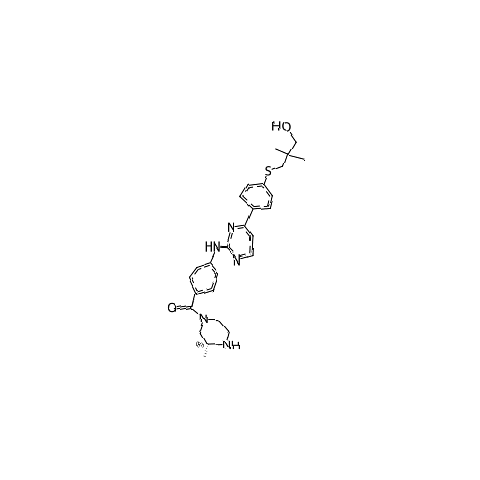 C[C@@H]1CN(C(=O)c2ccc(Nc3nccc(-c4ccc(SCC(C)(C)CO)cc4)n3)cc2)CCN1